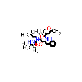 CC(=O)CC(C)C(=O)NC(Cc1ccccc1)C(O)CN(CCC(C)C)C(=O)NC(C)(C)C